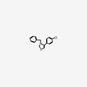 Clc1ccc(C2=CS[CH]N2Cc2ccccc2)cc1